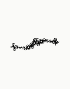 C=C(F)C(=O)OCCCCCCOc1ccc(C(=O)Oc2ccc(OC(=O)c3ccc(OCCCCCCOC(=O)C(=C)F)cc3)c(C(F)(F)F)c2)cc1